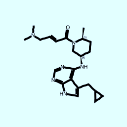 C[C@H]1CC[C@@H](Nc2ncnc3[nH]cc(CC4CC4)c23)CN1C(=O)C=CCN(C)C